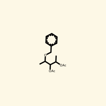 CC(=O)OC(C)C(OC(C)=O)C(C)OCc1ccccc1